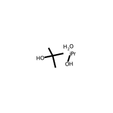 CC(C)(C)O.CC(C)O.O